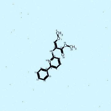 COC=C(Sc1cccc(-c2ccccc2)n1)C(=O)OC